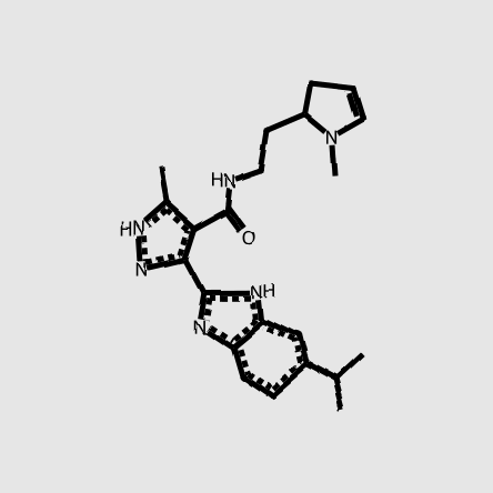 Cc1[nH]nc(-c2nc3ccc(C(C)C)cc3[nH]2)c1C(=O)NCCC1CC=CN1C